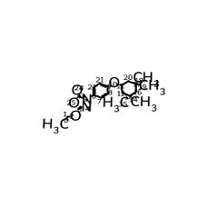 CCOc1nn(-c2ccc(OC3CC(C)(C)CC(C)(C)C3)cc2)c(=O)o1